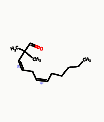 CCCCC/C=C\C/C=C\C(C)(C)C=O